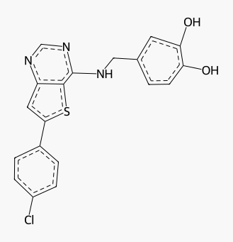 Oc1ccc(CNc2ncnc3cc(-c4ccc(Cl)cc4)sc23)cc1O